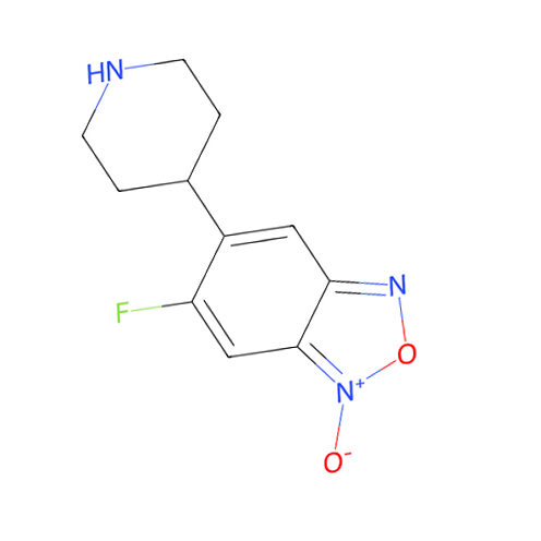 [O-][n+]1onc2cc(C3CCNCC3)c(F)cc21